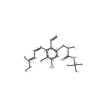 C=Cc1c(CN(C)C(=O)OC(C)(C)C)cc(Cl)c(C)c1/C=C\C=C(/C)CC